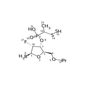 B[C@@H]1O[C@H](COC(C)C)[C@@H](OP(=O)(O)C(C)SS)[C@H]1F